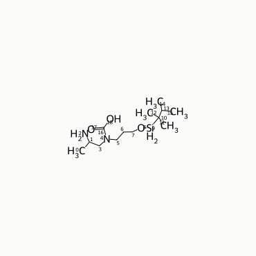 CC(N)CN(CCCO[SiH2]C(C)(C)C(C)C)C(=O)O